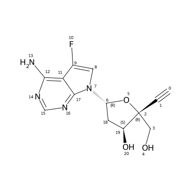 C#C[C@]1(CO)O[C@@H](n2cc(F)c3c(N)ncnc32)C[C@@H]1O